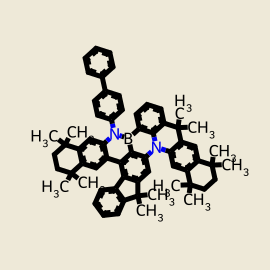 CC1(C)CCC(C)(C)c2cc3c(cc21)-c1c2c(cc4c1-c1ccccc1C4(C)C)N1c4cc5c(cc4C(C)(C)c4cccc(c41)B2N3c1ccc(-c2ccccc2)cc1)C(C)(C)CCC5(C)C